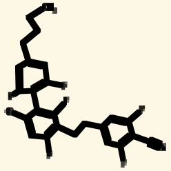 CCCCc1cc(F)c(-c2c([O])cc(F)c(CCc3cc(F)c(C#N)c(F)c3)c2F)c(F)c1